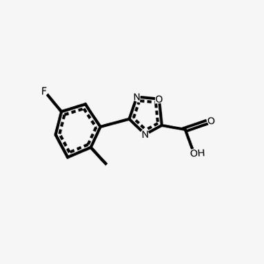 Cc1ccc(F)cc1-c1noc(C(=O)O)n1